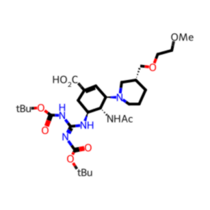 COCCOC[C@@H]1CCCN([C@@H]2C=C(C(=O)O)C[C@H](N/C(=N\C(=O)OC(C)(C)C)NC(=O)OC(C)(C)C)[C@H]2NC(C)=O)C1